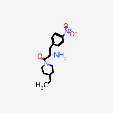 CCC1CCN(C(=O)[C@@H](N)Cc2ccc([N+](=O)[O-])cc2)CC1